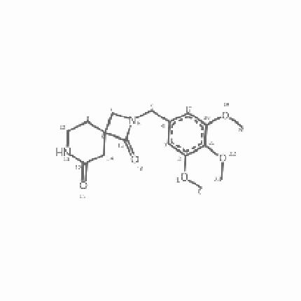 COc1cc(CN2CC3(CCNC(=O)C3)C2=O)cc(OC)c1OC